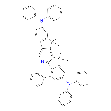 CC1(C)c2cc(N(c3ccccc3)c3ccccc3)ccc2-c2cnc3c(c21)C(C)(C)c1cc(N(c2ccccc2)c2ccccc2)cc(-c2ccccc2)c1-3